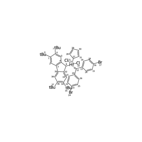 CC(C)(C)c1cc2c(cc1C(C)(C)C)[CH]([Hf]([Cl])([Cl])(=[C](c1ccc(Br)cc1)c1ccc(Br)cc1)[CH]1C=CC=C1)c1cc(C(C)(C)C)c(C(C)(C)C)cc1-2